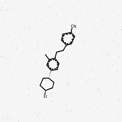 CC[C@H]1CC[C@H](c2ccc(CCc3ccc(C#N)cc3)c(C)c2)CC1